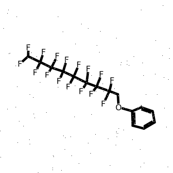 FC(F)C(F)(F)C(F)(F)C(F)(F)C(F)(F)C(F)(F)C(F)(F)C(F)(F)COc1[c]cccc1